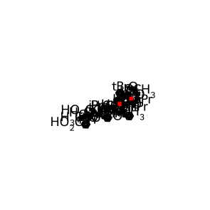 CC(C)C[C@@H](C(=O)N(C)[C@H](C(=O)N[C@@H](Cc1ccccc1)C(=O)N[C@@H](CC(=O)O)C(=O)N(C)[C@@H](Cc1ccccc1)C(=O)N[C@@H](C)C(=O)O)C(C)C)N(C)C(=O)CNC(=O)[C@H](Cc1ccccc1)N(C)C(=O)[C@@H](NC(=O)[C@H](CC(C)C)N(C)C(=O)[C@@H](NC(=O)[C@H](C)NC(=O)OC(C)(C)C)C(C)C)[C@@H](C)OC(c1ccccc1)(c1ccccc1)c1ccccc1